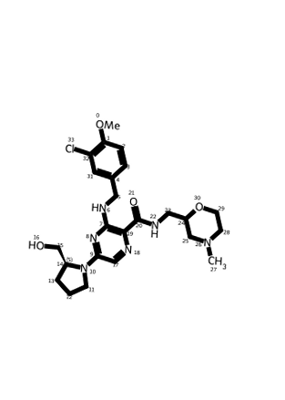 COc1ccc(CNc2nc(N3CCC[C@H]3CO)cnc2C(=O)NCC2CN(C)CCO2)cc1Cl